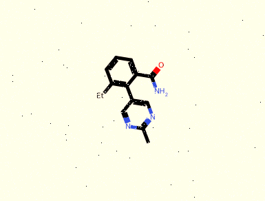 CCc1cccc(C(N)=O)c1-c1cnc(C)nc1